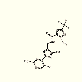 Cc1cc(-c2cc(CNC(=O)c3cc(C(F)(F)F)nn3C)n(C)n2)c(Cl)cn1